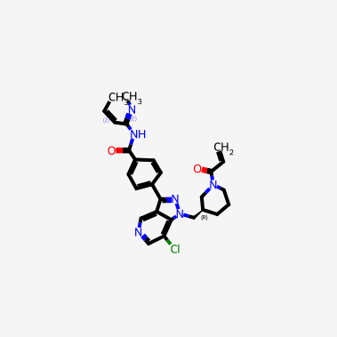 C=CC(=O)N1CCC[C@@H](Cn2nc(-c3ccc(C(=O)NC(/C=C\C)=N/C)cc3)c3cncc(Cl)c32)C1